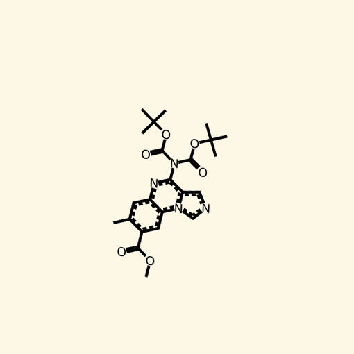 COC(=O)c1cc2c(cc1C)nc(N(C(=O)OC(C)(C)C)C(=O)OC(C)(C)C)c1cncn12